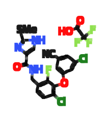 CSc1nc(C(=O)NCc2ccc(Cl)c(Oc3cc(Cl)cc(C#N)c3)c2F)c[nH]1.O=C(O)C(F)(F)F